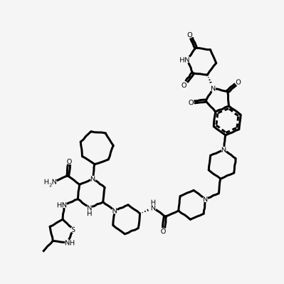 CC1CC(NC2NC(N3CCC[C@@H](NC(=O)C4CCN(CC5CCN(c6ccc7c(c6)C(=O)N([C@H]6CCC(=O)NC6=O)C7=O)CC5)CC4)C3)CN(C3CCCCCC3)C2C(N)=O)SN1